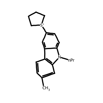 CCCn1c2ccc([S+]3CCCC3)cc2c2ccc(C)cc21